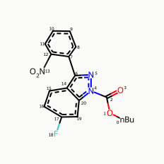 CCCCOC(=O)n1nc(-c2ccccc2[N+](=O)[O-])c2ccc(F)cc21